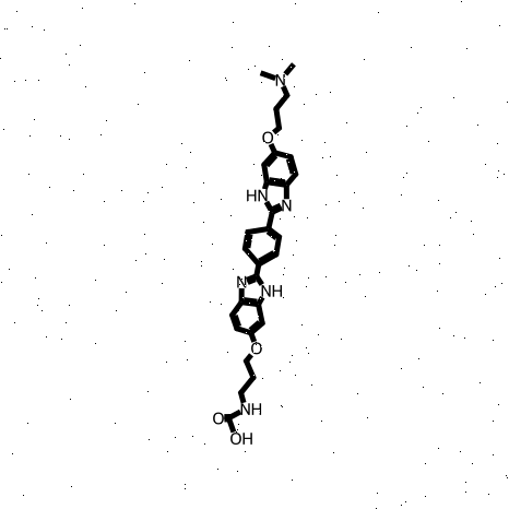 CN(C)CCCOc1ccc2nc(-c3ccc(-c4nc5ccc(OCCCNC(=O)O)cc5[nH]4)cc3)[nH]c2c1